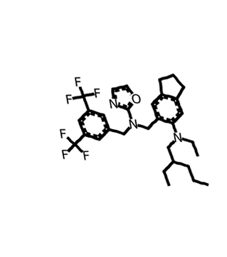 CCCC(CC)CN(CC)c1cc2c(cc1CN(Cc1cc(C(F)(F)F)cc(C(F)(F)F)c1)c1ncco1)CCC2